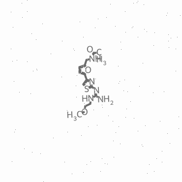 COCCNC(N)=Nc1nc(-c2ccc(CNC(C)=O)o2)cs1